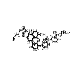 Cc1ccc2c(NS(=O)(=O)CCCF)cccc2c1Oc1ncccc1-c1ccnc(N[C@H]2CCCN(C(=O)OC(C)(C)C)C2)n1